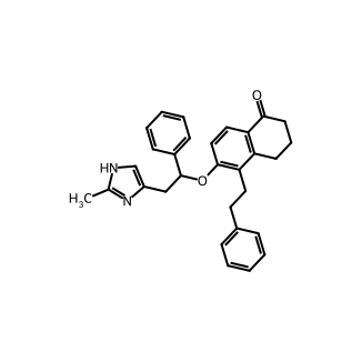 Cc1nc(CC(Oc2ccc3c(c2CCc2ccccc2)CCCC3=O)c2ccccc2)c[nH]1